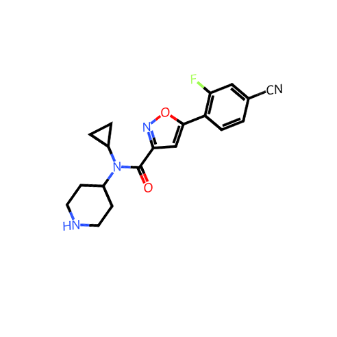 N#Cc1ccc(-c2cc(C(=O)N(C3CCNCC3)C3CC3)no2)c(F)c1